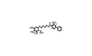 O=[N+]([O-])c1cc(-c2ncncn2)ccc1NCCCCCCN1C[C@H](O)[C@@H](O)[C@H](O)[C@H]1CO